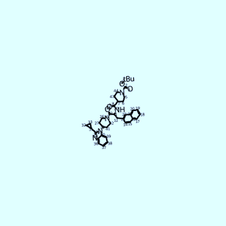 CC(C)(C)OC(=O)N1CCC(C(=O)NC(Cc2ccc3ccccc3c2)C(=O)N2CCC(n3c(C4CC4)nc4ccccc43)CC2)CC1